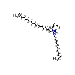 CCCCCCCCCCCCCCCCCCCC1N(CCCCCCCCCCCCC)C=CN1C(C)C